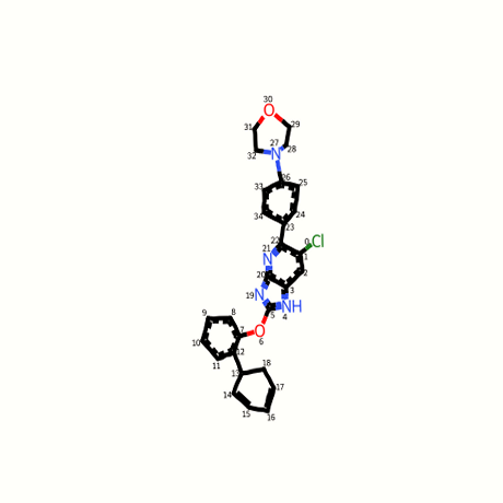 Clc1cc2[nH]c(Oc3ccccc3C3C=CC=CC3)nc2nc1-c1ccc(N2CCOCC2)cc1